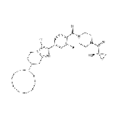 O=C(c1ccc(-c2nc3n(c2Cl)CCC(C2CCCCCCCCC2)C3)cc1F)N1CCN(C(=O)C2(O)CC2)CC1